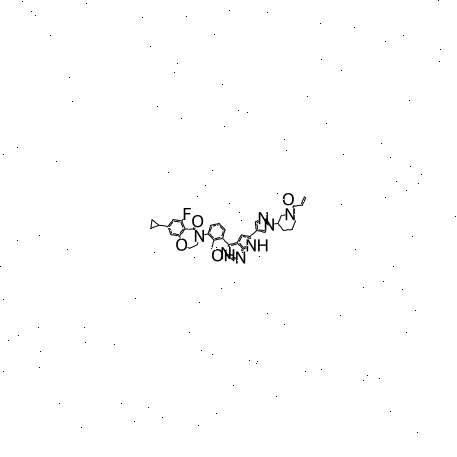 C=CC(=O)N1CCCC(n2cc(-c3cc4c(-c5cccc(N6CCOc7cc(C8CC8)cc(F)c7C6=O)c5CO)ncnc4[nH]3)cn2)C1